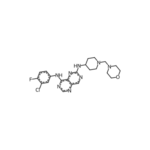 Fc1ccc(Nc2ncnc3cnc(NC4CCN(CN5CCOCC5)CC4)nc23)cc1Cl